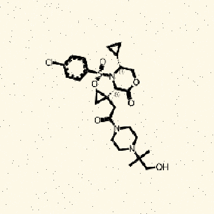 CC(C)(CO)N1CCN(C(=O)CC2([C@H]3C(=O)OC[C@@H](C4CC4)N3S(=O)(=O)c3ccc(Cl)cc3)CC2)CC1